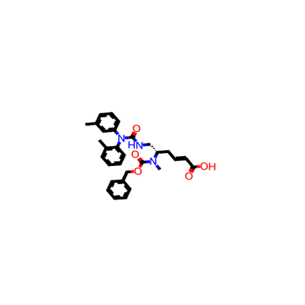 Cc1cccc(N(C(=O)NC[C@H](C/C=C/C(=O)O)N(C)C(=O)OCc2ccccc2)c2ccccc2C)c1